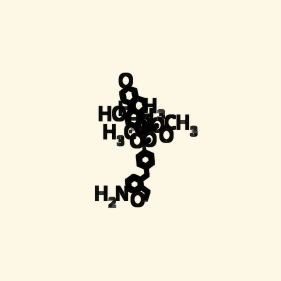 CC(=O)OCC(=O)[C@@]12O[C@H](c3ccc(Cc4ccc(N)c5c4CCO5)cc3)OC1C[C@H]1[C@@H]3CCC4=CC(=O)C=C[C@]4(C)[C@H]3[C@@H](O)C[C@@]12C